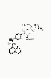 CC(C)CC1(CC(OC=O)C(=O)c2ccc(NS(=O)(=O)c3cccc4cccnc34)cc2)CCNCC1